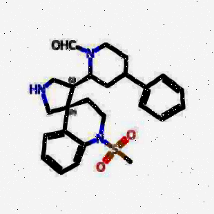 CS(=O)(=O)N1CC[C@]2(CNC[C@H]2C2CC(c3ccccc3)CCN2C=O)c2ccccc21